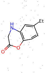 CCc1ccc2c(c1)NCC(=O)O2